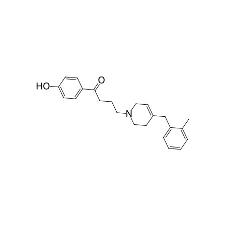 Cc1ccccc1CC1=CCN(CCCC(=O)c2ccc(O)cc2)CC1